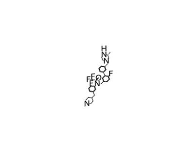 C[C@H]1CN(Cc2cccc(-c3cc(CN(C(=O)C(F)(F)F)c4cccc(CC5CCN(C)CC5)c4)ccc3F)c2)CCN1